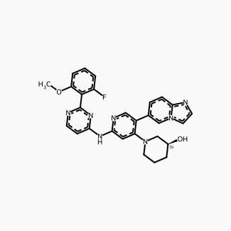 COc1cccc(F)c1-c1nccc(Nc2cc(N3CCC[C@H](O)C3)c(-c3ccc4nccn4c3)cn2)n1